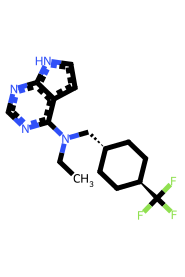 CCN(C[C@H]1CC[C@H](C(F)(F)F)CC1)c1ncnc2[nH]ccc12